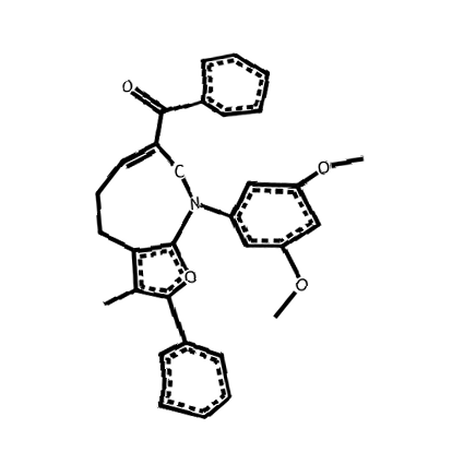 COc1cc(OC)cc(N2CC(C(=O)c3ccccc3)=CCCc3c2oc(-c2ccccc2)c3C)c1